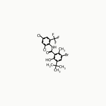 Cc1c(Br)cc(C(C)(C)C)c(O)c1C(=O)Nc1c(Cl)cc(Cl)cc1C(F)(F)F